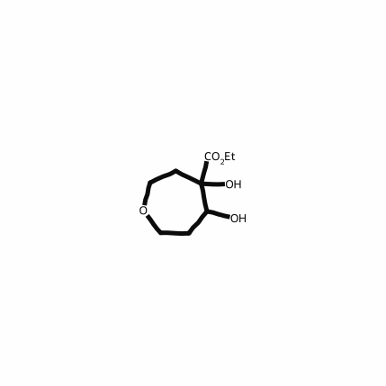 CCOC(=O)C1(O)CCOCCC1O